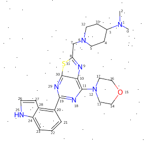 CN(C)C1CCN(Cc2nc3c(N4CCOCC4)nc(-c4cccc5[nH]ccc45)nc3s2)CC1